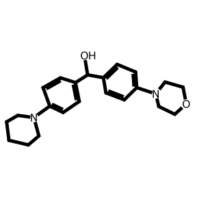 OC(c1ccc(N2CCCCC2)cc1)c1ccc(N2CCOCC2)cc1